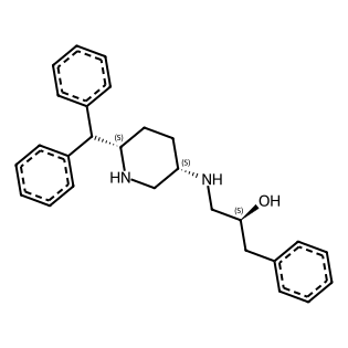 O[C@H](CN[C@H]1CC[C@@H](C(c2ccccc2)c2ccccc2)NC1)Cc1ccccc1